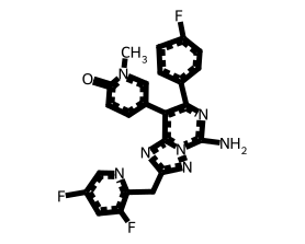 Cn1cc(-c2c(-c3ccc(F)cc3)nc(N)n3nc(Cc4ncc(F)cc4F)nc23)ccc1=O